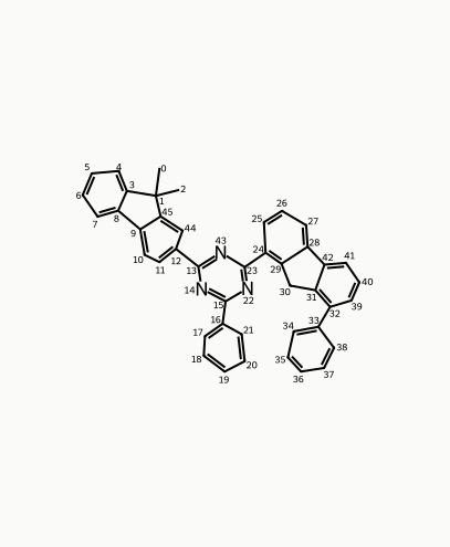 CC1(C)c2ccccc2-c2ccc(-c3nc(-c4ccccc4)nc(-c4cccc5c4Cc4c(-c6ccccc6)cccc4-5)n3)cc21